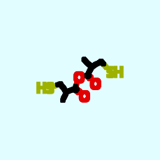 CC(CS)C(=O)OC(=O)C(C)CS